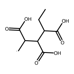 [CH2]C(C(=O)O)C(C(=O)O)C(CC)C(=O)O